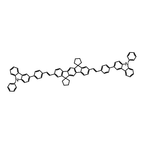 C(=C\c1ccc2c(c1)C1(CCCC1)c1cc3c(cc1-2)C1(CCCC1)c1cc(/C=C/c2ccc(-c4ccc5c(c4)c4ccccc4n5-c4ccccc4)cc2)ccc1-3)/c1ccc(-c2ccc3c(c2)c2ccccc2n3-c2ccccc2)cc1